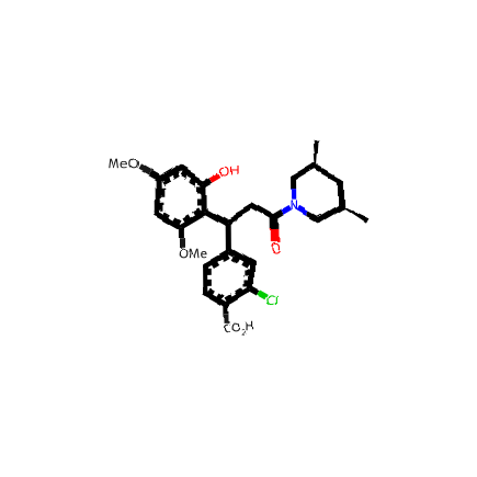 COc1cc(O)c(C(CC(=O)N2C[C@H](C)C[C@H](C)C2)c2ccc(C(=O)O)c(Cl)c2)c(OC)c1